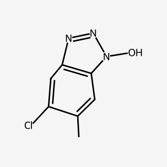 Cc1cc2c(cc1Cl)nnn2O